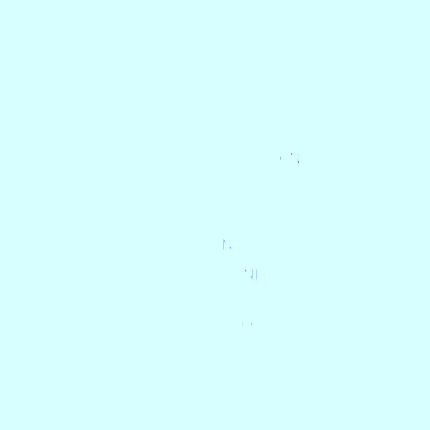 N#Cc1cc(Cc2n[nH]c(=O)c3c2CCCC3)ccc1F